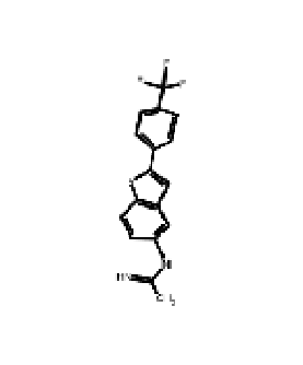 CC(=N)Nc1ccc2sc(-c3ccc(C(F)(F)F)cc3)cc2c1